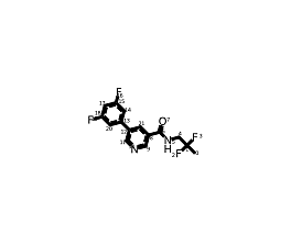 CC(F)(F)CNC(=O)c1cncc(-c2cc(F)cc(F)c2)c1